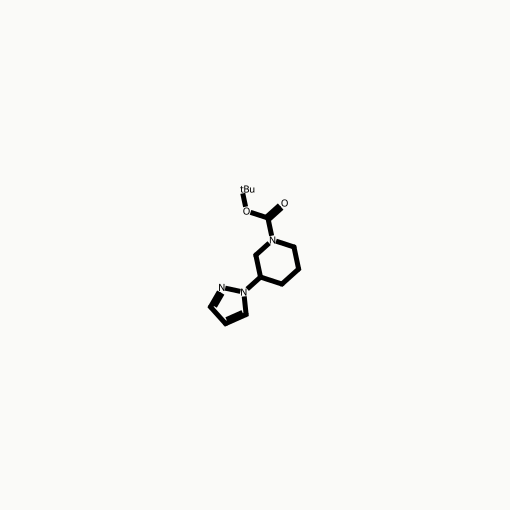 CC(C)(C)OC(=O)N1CCCC(n2cccn2)C1